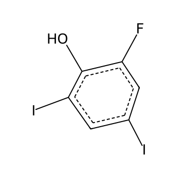 Oc1c(F)cc(I)cc1I